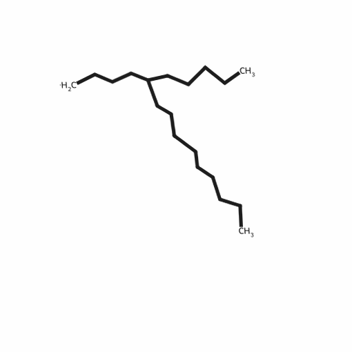 [CH2]CCCC(CCCCC)CCCCCCCCC